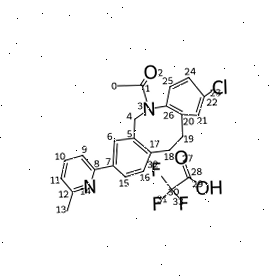 CC(=O)N1Cc2cc(-c3cccc(C)n3)ccc2CCc2cc(Cl)ccc21.O=C(O)C(F)(F)F